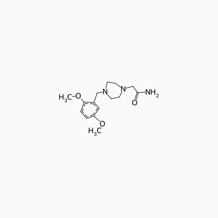 COc1ccc(OC)c(CN2CCN(CC(N)=O)CC2)c1